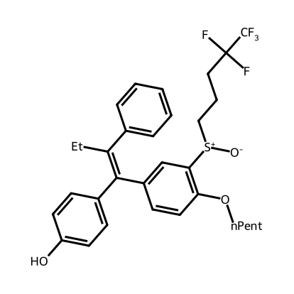 CCCCCOc1ccc(C(=C(CC)c2ccccc2)c2ccc(O)cc2)cc1[S+]([O-])CCCC(F)(F)C(F)(F)F